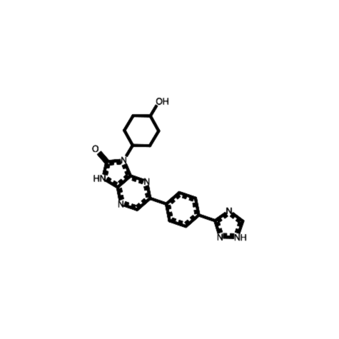 O=c1[nH]c2ncc(-c3ccc(-c4nc[nH]n4)cc3)nc2n1C1CCC(O)CC1